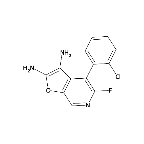 Nc1oc2cnc(F)c(-c3ccccc3Cl)c2c1N